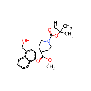 COC(=O)C1(c2cc(CO)c3ccccc3c2)CCN(C(=O)OC(C)(C)C)CC1